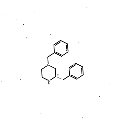 c1ccc(C[C@H]2CN(Cc3ccccc3)CCN2)cc1